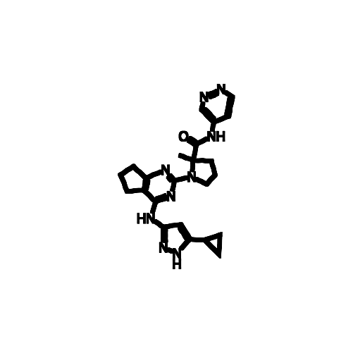 CC1(C(=O)Nc2ccnnc2)CCCN1c1nc2c(c(Nc3cc(C4CC4)[nH]n3)n1)CCC2